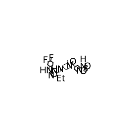 CCc1cnc(Nc2ccc(F)c(F)c2)nc1CN[C@@H]1CCN(C(=O)c2ccnc(NS(C)(=O)=O)c2)[C@H](C)C1